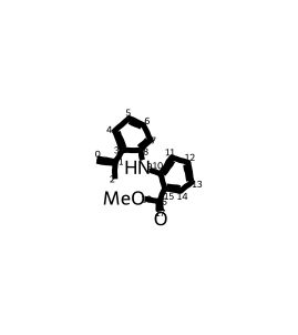 C=C(C)c1ccccc1Nc1ccccc1C(=O)OC